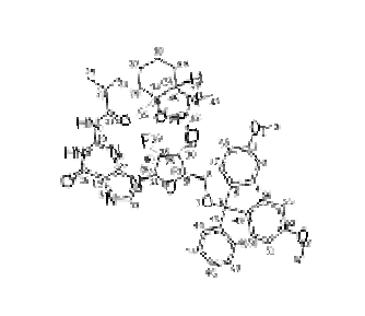 COc1ccc(C(OC[C@H]2O[C@@H](n3cnc4c(=O)[nH]c(NC(=O)C(C)C)nc43)[C@H](F)[C@@H]2O[P@@]2O[C@@]3(C)CCCC[C@@H]3N2C)(c2ccccc2)c2ccc(OC)cc2)cc1